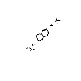 CCC(C)(I)C(=O)Oc1ccc2cc(OC(=O)OC(C)(C)C)ccc2c1